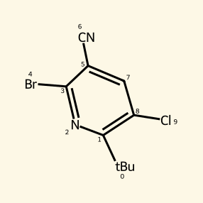 CC(C)(C)c1nc(Br)c(C#N)cc1Cl